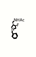 CC(=O)NC[C@@H]1CN(Cc2ccccc2)C[C@@H]1F